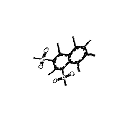 Cc1c(C)c(C)c2c(S(C)(=O)=O)c(C)c(S(C)(=O)=O)c(C)c2c1C